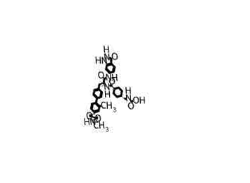 CNS(=O)(=O)c1ccc(-c2ccc(C[C@H](NC(=O)[C@H]3CC[C@H](CNC(=O)O)CC3)C(=O)Nc3ccc4c(=O)[nH][nH]c4c3)cc2)c(C)c1